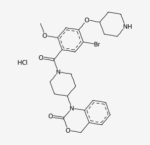 COc1cc(OC2CCNCC2)c(Br)cc1C(=O)N1CCC(N2C(=O)OCc3ccccc32)CC1.Cl